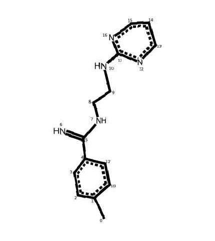 Cc1ccc(C(=N)NCCNc2ncccn2)cc1